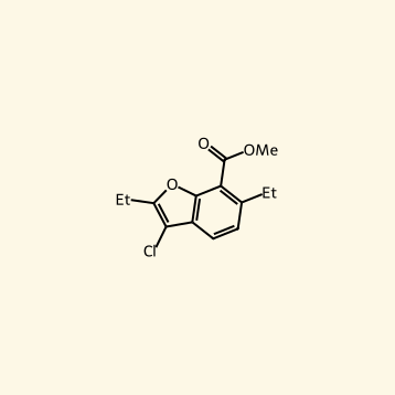 CCc1ccc2c(Cl)c(CC)oc2c1C(=O)OC